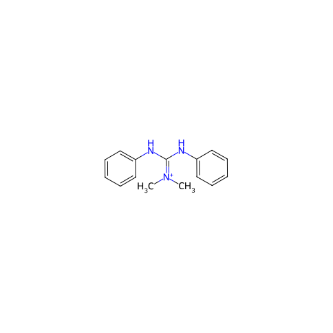 C[N+](C)=C(Nc1ccccc1)Nc1ccccc1